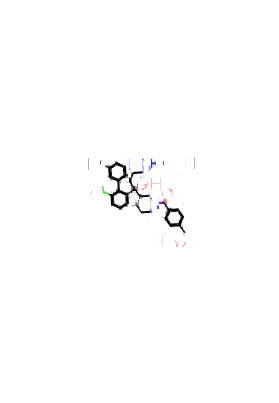 CCc1cccc(-c2c(Cl)cccc2[C@](O)(CCCNC(=O)O)[C@@H]2CCCN(C(=O)c3ccc(CO)cc3)C2)c1